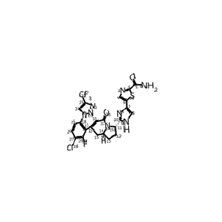 NC(=O)c1ncc(-c2c[nH]c([C@@H]3CC[C@H]4CC(c5c(-n6cc(C(F)(F)F)nn6)ccc(Cl)c5F)=CC(=O)N43)n2)s1